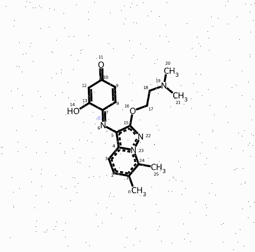 Cc1ccc2c(/N=C3\C=CC(=O)C=C3O)c(OCCN(C)C)nn2c1C